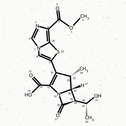 COC(=O)c1ncn2cc(C3=C(C(=O)O)N4C(=O)[C@H]([C@@H](C)O)[C@H]4[C@H]3C)sc12